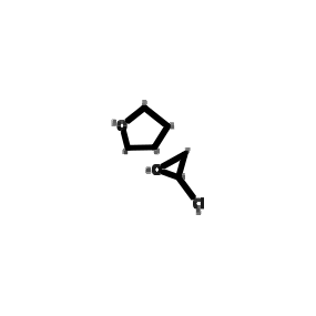 C1CCOC1.ClC1CO1